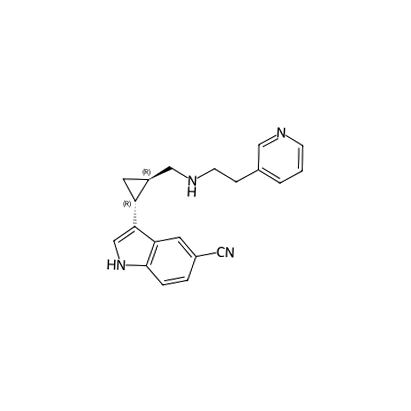 N#Cc1ccc2[nH]cc([C@@H]3C[C@H]3CNCCc3cccnc3)c2c1